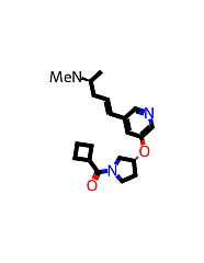 CN[C@@H](C)C/C=C/c1cncc(O[C@@H]2CCN(C(=O)C3CCC3)C2)c1